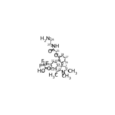 CC=C1N(C)C(C)CC1(c1ccccc1)c1cccc(OCC(=O)NCCN)c1.O=C(O)C(F)(F)F